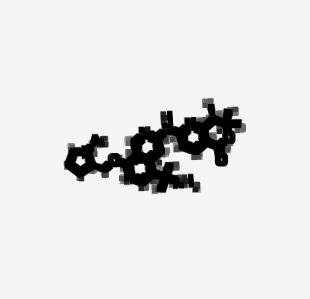 CC(=O)N1CCC[C@@H]1COc1ncc(C(C)(C)N)c2cc(Nc3ccc4c(n3)[C@@H](C)C(C)(C)OC4=O)ncc12